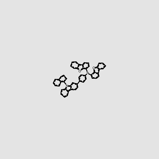 c1ccc2c(-n3c4ccccc4c4ccc(-c5ccc(N(c6cccc7c6oc6ccccc67)c6cccc7c6oc6ccccc67)cc5)cc43)cccc2c1